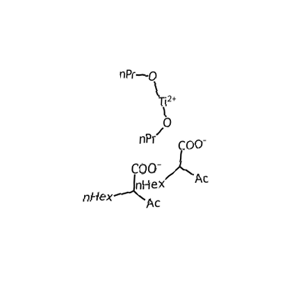 CCCCCCC(C(C)=O)C(=O)[O-].CCCCCCC(C(C)=O)C(=O)[O-].CCC[O][Ti+2][O]CCC